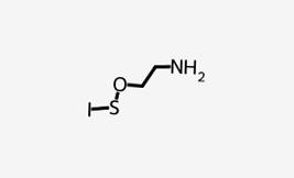 NCCOSI